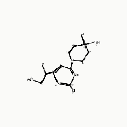 CC(CO)c1cc(N2CCC(C)(O)CC2)nc(Cl)n1